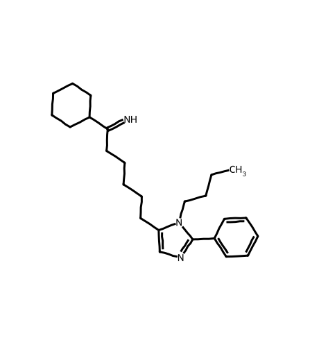 CCCCn1c(CCCCCC(=N)C2CCCCC2)cnc1-c1ccccc1